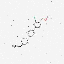 C=C[C@H]1CC[C@H](c2ccc(-c3ccc(COC)c(F)c3)cc2)CC1